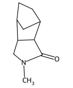 CN1CC2C3CCC(C3)C2C1=O